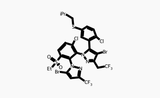 CCS(=O)(=O)c1c[c]c(Cl)c(-n2nc(CC(F)(F)F)c(Br)c2-c2cc(SCC(C)C)ccc2Cl)c1-n1nc(C(F)(F)F)cc1Br